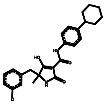 CC1(Cc2cccc(Cl)c2)NC(=O)C(C(=O)Nc2ccc(C3CCCCC3)cc2)=C1O